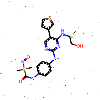 C[C@H](CO)Nc1nc(Nc2ccc(NC(=O)S(C)(C)N=O)cc2)ncc1-c1ccsc1